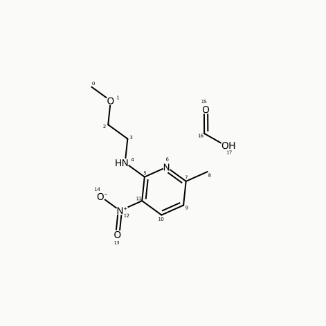 COCCNc1nc(C)ccc1[N+](=O)[O-].O=CO